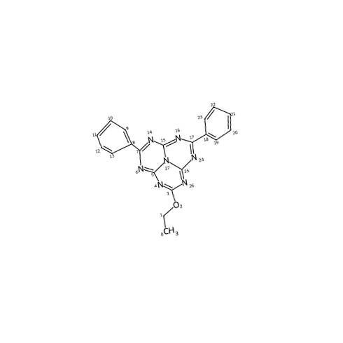 CCOC1=NC2=NC(c3ccccc3)=NC3=NC(c4ccccc4)=NC(=N1)N23